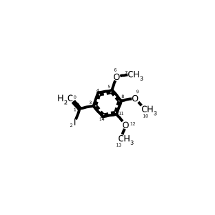 C=C(I)c1cc(OC)c(OC)c(OC)c1